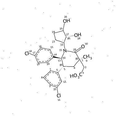 C[C@]1(CC(=O)O)C[C@H](c2cccc(Cl)c2)[C@@H](c2ccc(Cl)cc2)N(C2CCC(O)[C@@H]2O)C1=O